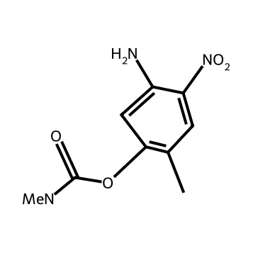 CNC(=O)Oc1cc(N)c([N+](=O)[O-])cc1C